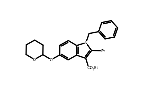 CCOC(=O)c1c(C(C)C)n(Cc2ccccc2)c2ccc(OC3CCCCO3)cc12